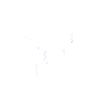 CCn1cc(C)nc1CNC(C)=O